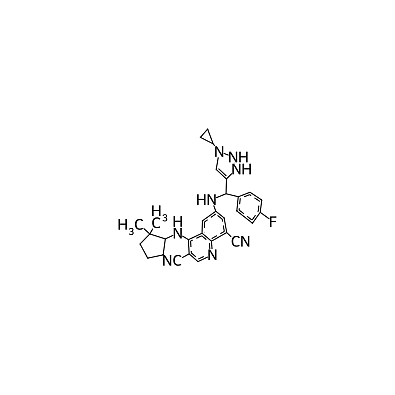 CC1(C)CCCC1Nc1c(C#N)cnc2c(C#N)cc(NC(C3=CN(C4CC4)NN3)c3ccc(F)cc3)cc12